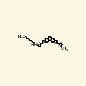 CCCCCCCCNc1ccc(-c2cc3cc4ccc5cc6cc(-c7ccc(C)o7)sc6cc5c4cc3s2)o1